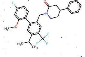 COc1cc(F)ccc1-c1cc(C(C)C)c(C(F)(F)F)cc1CN1CCC(c2ccccc2)CC1=O